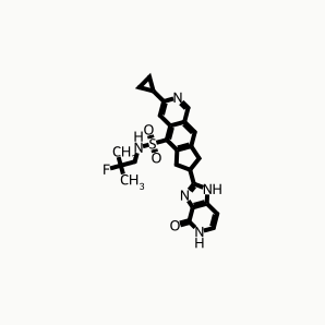 CC(C)(F)CNS(=O)(=O)c1c2c(cc3cnc(C4CC4)cc13)CC(c1nc3c(=O)[nH]ccc3[nH]1)C2